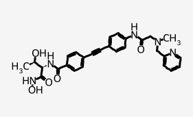 C[C@@H](O)[C@H](NC(=O)c1ccc(C#Cc2ccc(NC(=O)CN(C)Cc3ccccn3)cc2)cc1)C(=O)NO